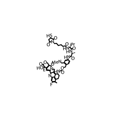 CC[C@@]1(O)C(=O)OCc2c1cc1n(c2=O)Cc2c-1nc1cc(F)c(C)c3c1c2[C@@H](NC(=O)OCc1ccc(NC(=O)[C@H](C)NC(=O)[C@@H](NC(=O)CCCCCN2C(=O)CC(S)C2=O)C(C)C)cc1CNC)CC3